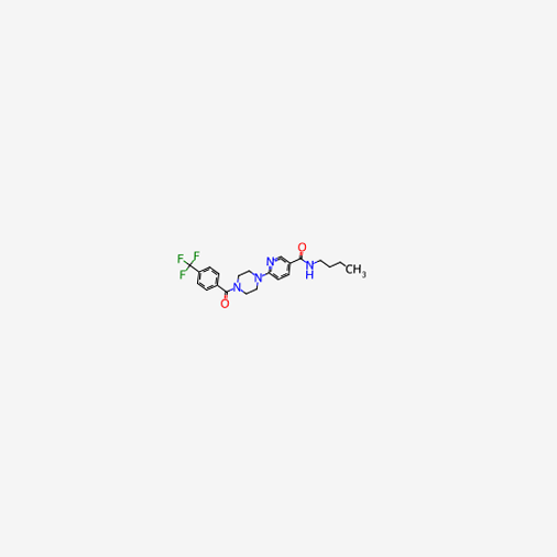 CCCCNC(=O)c1ccc(N2CCN(C(=O)c3ccc(C(F)(F)F)cc3)CC2)nc1